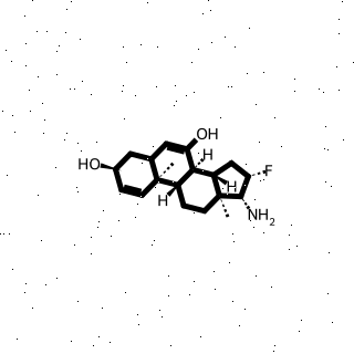 C[C@]12CC[C@H]3[C@@H](C(O)=CC4C[C@H](O)C=C[C@@]43C)[C@@H]1C[C@H](F)[C@@H]2N